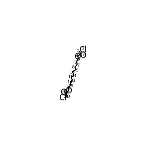 O=C(CCl)OCCCCCCCCCCCCOC(=O)CCl